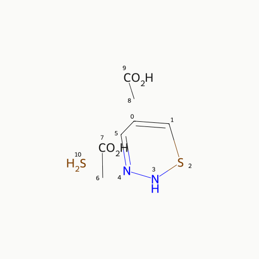 C1=CSNN=C1.CC(=O)O.CC(=O)O.S